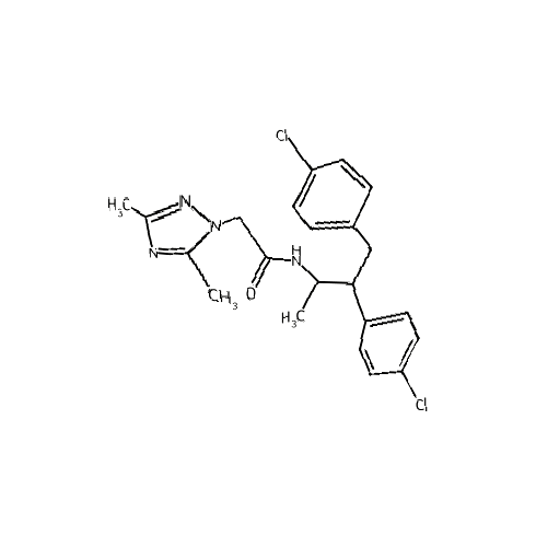 Cc1nc(C)n(CC(=O)NC(C)C(Cc2ccc(Cl)cc2)c2ccc(Cl)cc2)n1